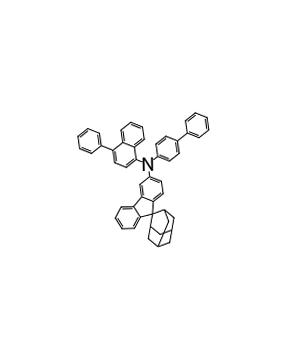 c1ccc(-c2ccc(N(c3ccc4c(c3)-c3ccccc3C43C4CC5CC(C4)CC3C5)c3ccc(-c4ccccc4)c4ccccc34)cc2)cc1